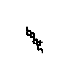 C/C=C\C=C/C1=CC(C)(C)c2cc(-c3ccc4cc(I)ccc4c3)ccc21